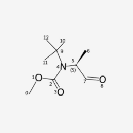 COC(=O)N([C@@H](C)C=O)C(C)(C)C